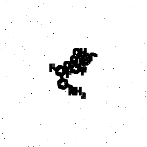 CCN1CCN(c2nc(Oc3cc(F)cc(-c4cccc(CN)c4)c3)c(F)cc2F)C(C(=O)O)C1